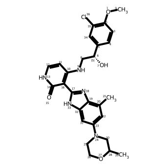 COc1ccc([C@H](O)CNc2cc[nH]c(=O)c2-c2nc3c(C)cc(N4CCOC(C)C4)cc3[nH]2)cc1Cl